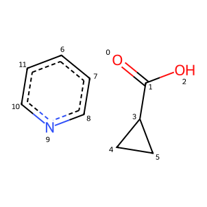 O=C(O)C1CC1.c1ccncc1